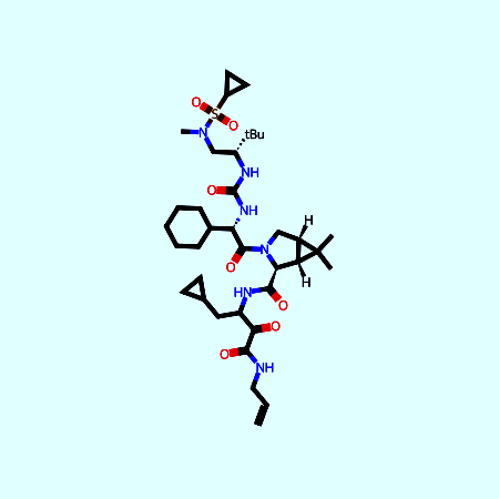 C=CCNC(=O)C(=O)C(CC1CC1)NC(=O)[C@@H]1[C@@H]2[C@H](CN1C(=O)[C@@H](NC(=O)N[C@H](CN(C)S(=O)(=O)C1CC1)C(C)(C)C)C1CCCCC1)C2(C)C